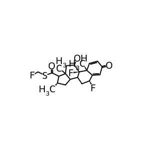 C[C@@H]1CC2C3C[C@H](F)C4=CC(=O)C=CC4(C)[C@@]3(F)C(O)CC2(C)C1C(=O)SCF